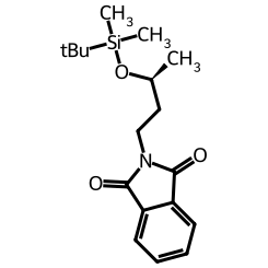 C[C@@H](CCN1C(=O)c2ccccc2C1=O)O[Si](C)(C)C(C)(C)C